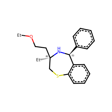 CCOCC[C@]1(CC)CSc2ccccc2[C@H](c2ccccc2)N1